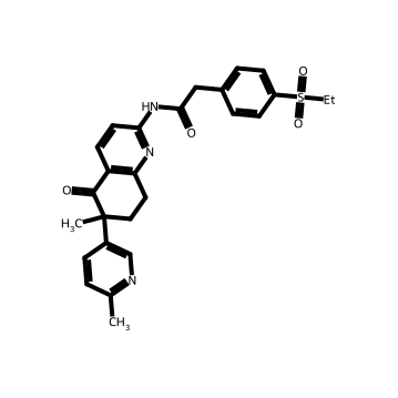 CCS(=O)(=O)c1ccc(CC(=O)Nc2ccc3c(n2)CCC(C)(c2ccc(C)nc2)C3=O)cc1